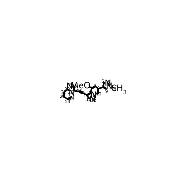 COc1cc(-c2cnn(C)c2)cn2ncc(C#Cc3cnc4ccccn34)c12